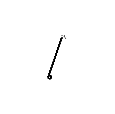 [CH2]CCCCCCCCCCCCCCCCCCCCCCCCCCc1ccccc1